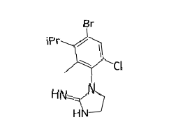 Cc1c(C(C)C)c(Br)cc(Cl)c1N1CCNC1=N